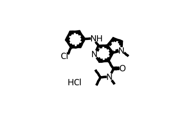 CC(C)N(C)C(=O)c1cnc(Nc2cccc(Cl)c2)c2ccn(C)c12.Cl